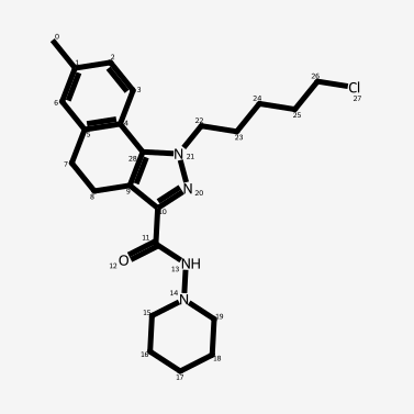 Cc1ccc2c(c1)CCc1c(C(=O)NN3CCCCC3)nn(CCCCCCl)c1-2